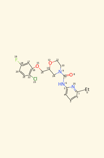 CCc1cccc(NC(=O)N2CCOC(COc3cc(F)ccc3Cl)C2)n1